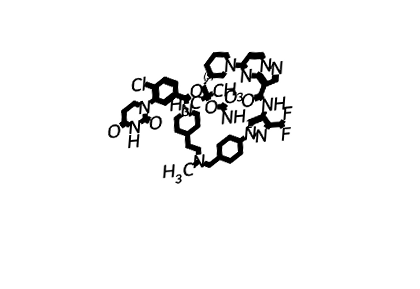 CN(CCC1CCN(C(=O)c2ccc(Cl)c(N3CCC(=O)NC3=O)c2)CC1)CC1CCC(n2cc(NC(=O)c3cnn4ccc(N5CCC[C@@H](CC(C)(C)OC(N)=O)C5)nc34)c(C(F)F)n2)CC1